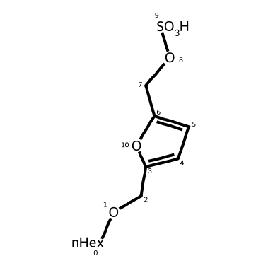 CCCCCCOCc1ccc(COS(=O)(=O)O)o1